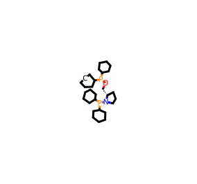 C1CCC(P(OC[C@@H]2CCCN2P(C2CCCCC2)C2CCCCC2)C2CCCCC2)CC1